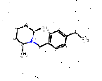 CCc1ccc(CN2[C@H](C)CCC[C@@H]2C)cc1